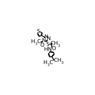 CC(=O)n1c(SC(C)C(=O)Nc2ccc(C(C)C)cc2)nnc1-c1ccsc1